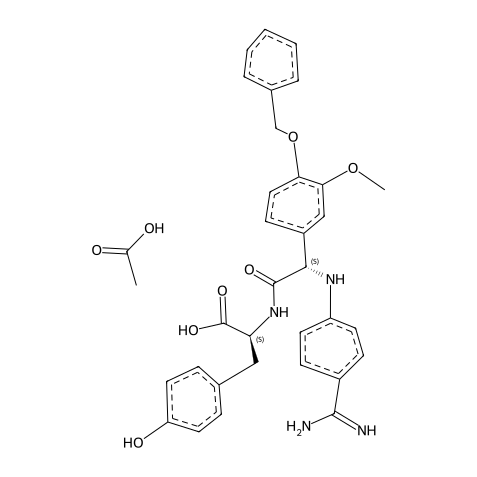 CC(=O)O.COc1cc([C@H](Nc2ccc(C(=N)N)cc2)C(=O)N[C@@H](Cc2ccc(O)cc2)C(=O)O)ccc1OCc1ccccc1